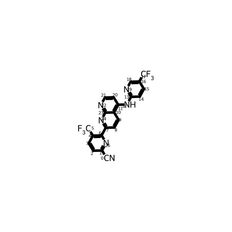 N#Cc1ccc(C(F)(F)F)c(-c2ccc3c(Nc4ccc(C(F)(F)F)cn4)ccnc3n2)n1